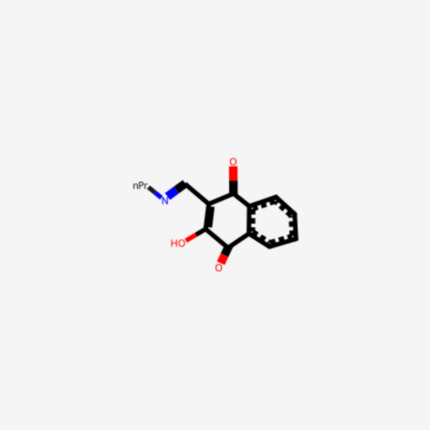 CCC/N=C/C1=C(O)C(=O)c2ccccc2C1=O